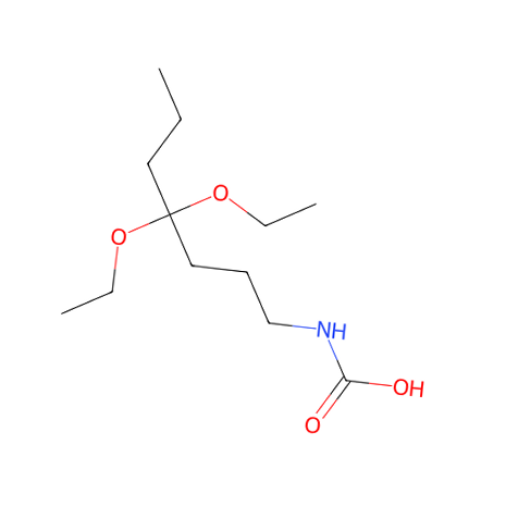 CCCC(CCCNC(=O)O)(OCC)OCC